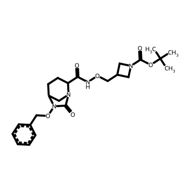 CC(C)(C)OC(=O)N1CC(CONC(=O)C2CCC3CN2C(=O)N3OCc2ccccc2)C1